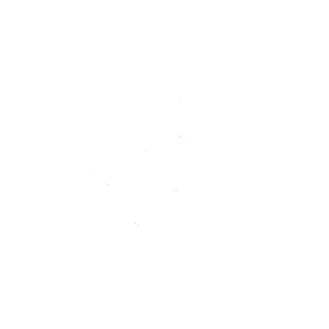 CCN1CCN(CC(=O)O)CCN(CC(=O)O)CCN(CC(O)CN(CC(=O)O)CC(CO)CO)CC1